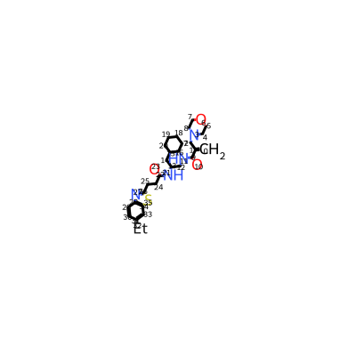 C=C(CN1CCOCC1)C(=O)NCC(CC1CCCCC1)NC(=O)CCc1nc2ccc(CC)cc2s1